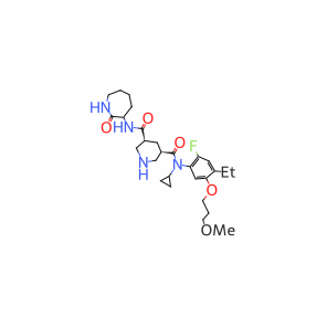 CCc1cc(F)c(N(C(=O)[C@H]2CNC[C@@H](C(=O)NC3CCCCNC3=O)C2)C2CC2)cc1OCCCOC